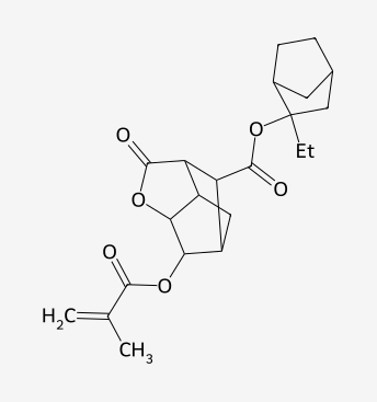 C=C(C)C(=O)OC1C2CC3C1OC(=O)C3C2C(=O)OC1(CC)CC2CCC1C2